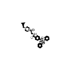 O=C(NCC(=O)N1CCN(CC2CC2)CC1)c1ccc(S(=O)(=O)N(Oc2ccccc2)c2ccccc2)cc1